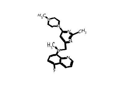 Cc1nc(CN(C)c2ccc(F)c3cccnc23)cc(N2CCN(C)CC2)n1